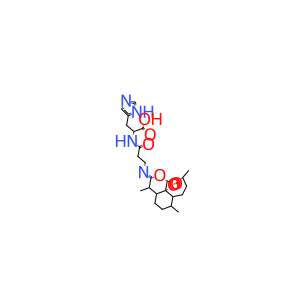 CC1CCC2C(C)/C(=N/CCC(=O)NC(Cc3cnc[nH]3)C(=O)O)OC3OC4(C)CCC1C32OO4